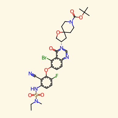 CCN(C)S(=O)(=O)Nc1ccc(F)c(Oc2ccc3ncn([C@@H]4COC5(CCN(C(=O)OC(C)(C)C)CC5)C4)c(=O)c3c2Br)c1C#N